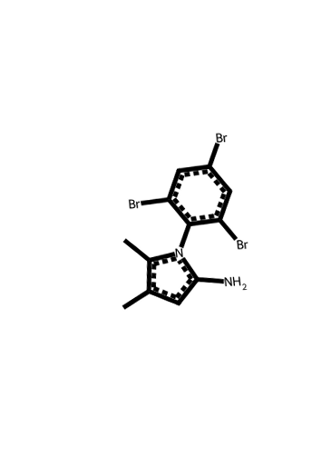 Cc1cc(N)n(-c2c(Br)cc(Br)cc2Br)c1C